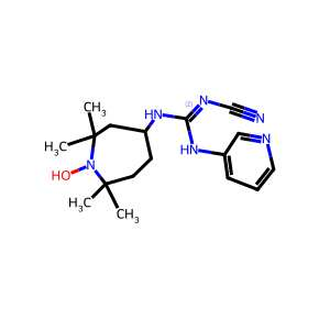 CC1(C)CCC(N/C(=N/C#N)Nc2cccnc2)CC(C)(C)N1O